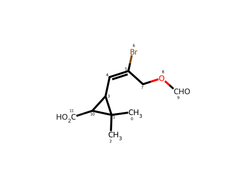 CC1(C)C(/C=C(/Br)COC=O)C1C(=O)O